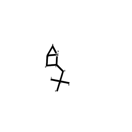 CC(C)(C)CC1CC2CN21